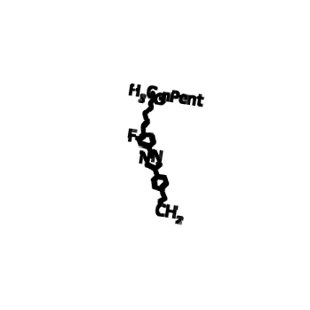 C=CCc1ccc(-c2cnc(-c3ccc(/C=C/CCCC(C)OCCCCC)c(F)c3)nc2)cc1